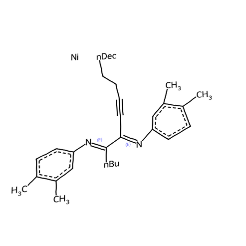 CCCCCCCCCCCCC#CC(=N\c1ccc(C)c(C)c1)/C(CCCC)=N/c1ccc(C)c(C)c1.[Ni]